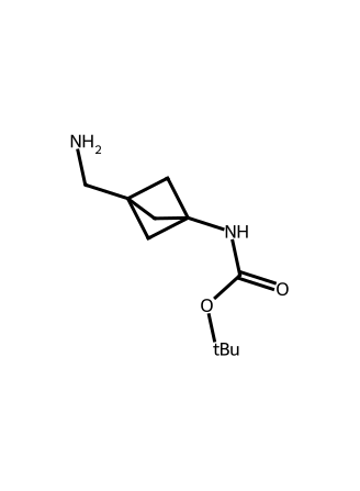 CC(C)(C)OC(=O)NC12CC(CN)(C1)C2